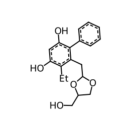 CCc1c(O)cc(O)c(-c2ccccc2)c1CC1OCC(CO)O1